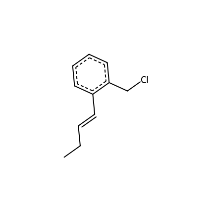 CCC=Cc1ccccc1CCl